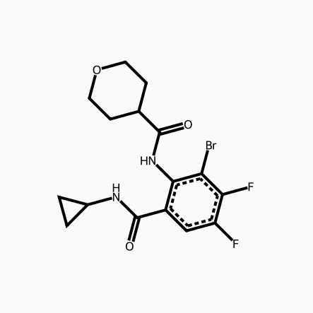 O=C(NC1CC1)c1cc(F)c(F)c(Br)c1NC(=O)C1CCOCC1